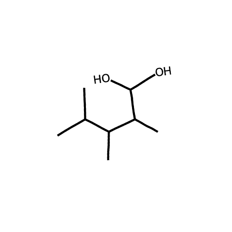 CC(C)C(C)C(C)C(O)O